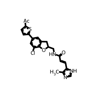 CC(=O)c1ccc(-c2cc(Cl)c3c(c2)CC(CNC(=O)C=Cc2[nH]cnc2C)O3)s1